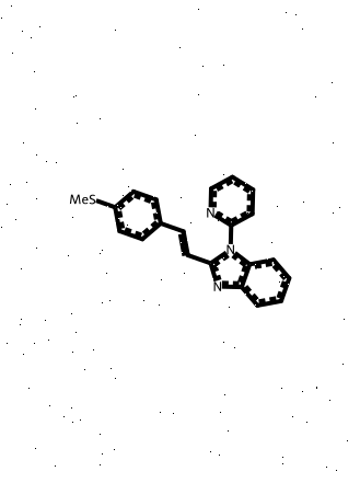 CSc1ccc(C=Cc2nc3ccccc3n2-c2ccccn2)cc1